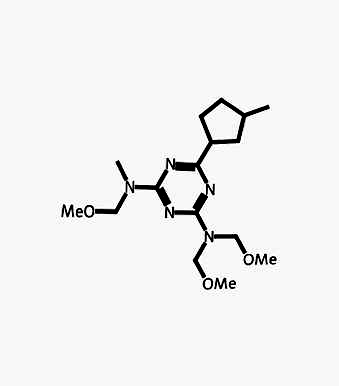 COCN(C)c1nc(C2CCC(C)C2)nc(N(COC)COC)n1